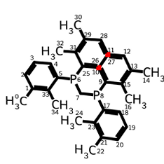 Cc1cccc(P(CP(c2cccc(C)c2C)c2cccc(C)c2C)c2cccc(C)c2C)c1C